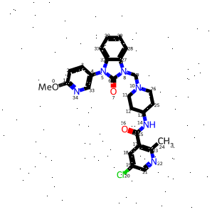 COc1ccc(-n2c(=O)n(CN3CCC(NC(=O)c4cc(Cl)cnc4C)CC3)c3ccccc32)cn1